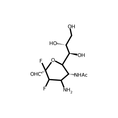 CC(=O)N[C@@H]1C(N)C(F)[C@](F)(C=O)OC1[C@H](O)[C@H](O)CO